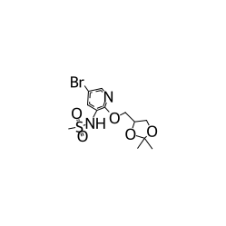 CC1(C)OCC(COc2ncc(Br)cc2NS(C)(=O)=O)O1